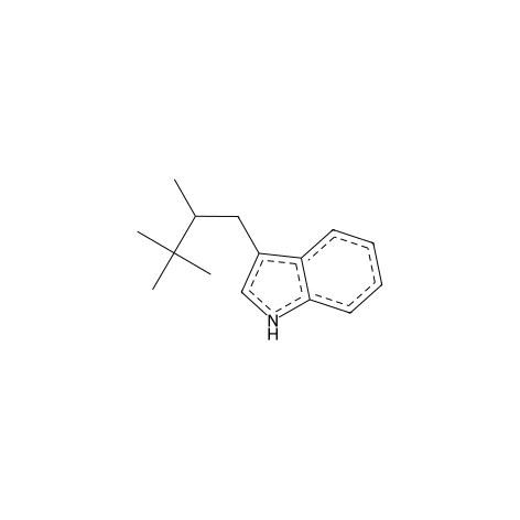 CC(Cc1c[nH]c2ccccc12)C(C)(C)C